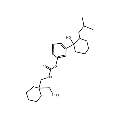 CN(C)CC1CCCCC1(O)c1cccc(OC(=O)NCC2(CC(=O)O)CCCCC2)c1